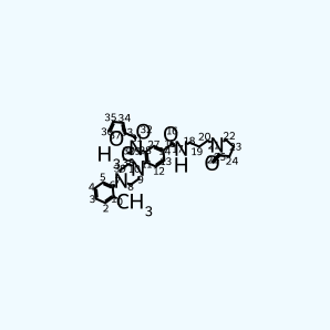 Cc1ccccc1N1CCN(c2ccc(C(=O)NCCCN3CCCC3=O)cc2N(C)C(=O)c2ccco2)CC1